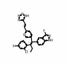 CC/C(=C(/c1ccc(/C=C/c2nnn[nH]2)nc1)c1ccc2[nH]nc(F)c2c1)c1ccc(F)cc1Cl